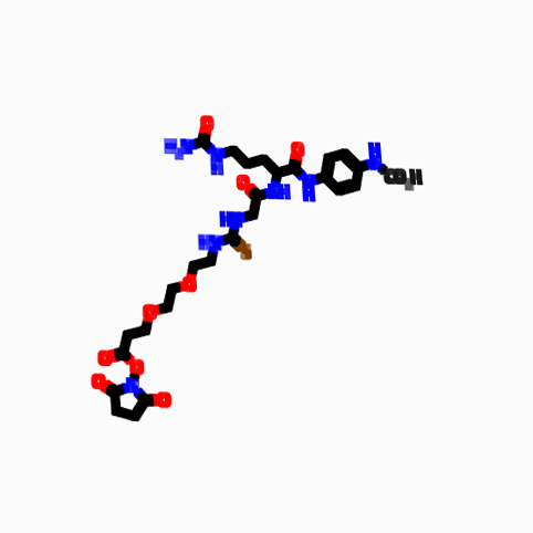 NC(=O)NCCCC(NC(=O)CNC(=S)NCCOCCOCCC(=O)ON1C(=O)CCC1=O)C(=O)Nc1ccc(NC(=O)O)cc1